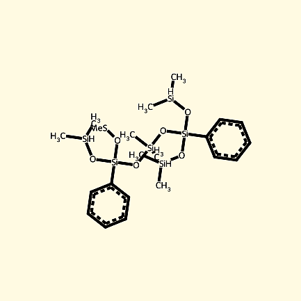 CSO[Si](O[SiH](C)C)(O[Si](C)(C)O[Si](O[SiH](C)C)(O[SiH](C)C)c1ccccc1)c1ccccc1